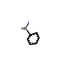 IBc1ccccc1